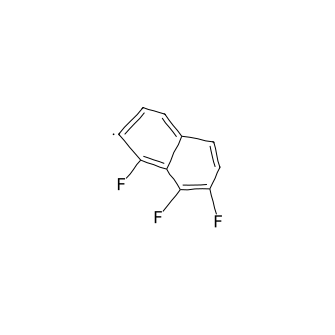 Fc1ccc2cc[c]c(F)c2c1F